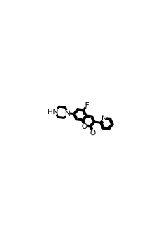 O=c1oc2cc(N3CCNCC3)cc(F)c2cc1-c1ccccn1